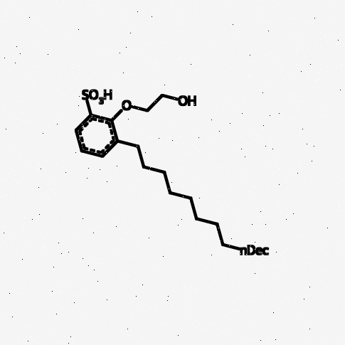 CCCCCCCCCCCCCCCCCCc1cccc(S(=O)(=O)O)c1OCCO